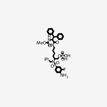 COC(=O)NC(C(=O)NCCCCC(COP(=O)(O)O)N(CC(C)C)S(=O)(=O)c1ccc(N)c(F)c1)C(c1ccccc1)c1ccccc1